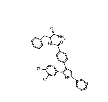 NC(=O)C(Cc1ccccc1)NC(=O)c1ccc(-c2cc(-c3cccnc3)nn2-c2ccc(Cl)c(Cl)c2)cc1